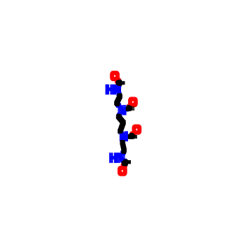 O=[C]NCCN([C]=O)CCCN([C]=O)CCN[C]=O